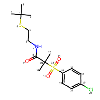 CC(C)(C)SCCNC(=O)C(C)(C)S(=O)(=O)c1ccc(Cl)cc1